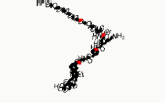 CCCOCCOCCOCCOCCOCCOCCOCCOCCOCCC(=O)N[C@H](C(=O)N[C@@H](CCCCN)C(=O)Nc1ccc(COC(=O)NCCCOc2ccc3nc4c(c(CC)c3c2)Cn2c-4cc3c(c2=O)COC(=O)[C@]3(O)CC)cc1)C(C)C